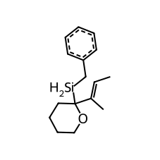 CC=C(C)C1([SiH2]Cc2ccccc2)CCCCO1